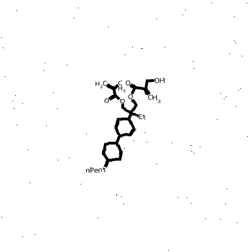 C=C(C)C(=O)OCC(CC)(COC(=O)C(=C)CO)C1CCC(C2CCC(CCCCC)CC2)CC1